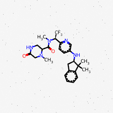 CN1CC(=O)NCC1C(=O)N(C)[C@H](c1ccc(NC2Cc3ccccc3C2(C)C)cn1)C(F)(F)F